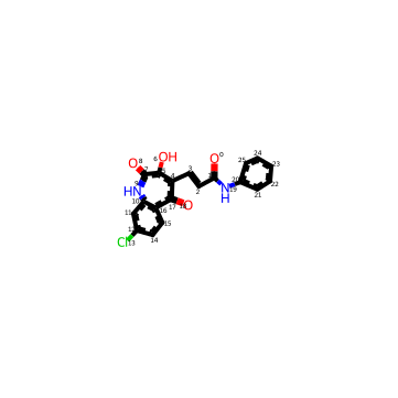 O=C(C=Cc1c(O)c(=O)[nH]c2cc(Cl)ccc2c1=O)Nc1ccccc1